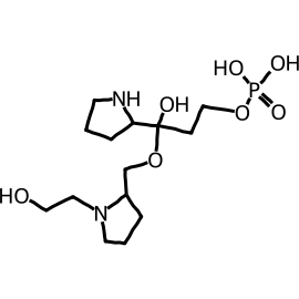 O=P(O)(O)OCCC(O)(OCC1CCCN1CCO)C1CCCN1